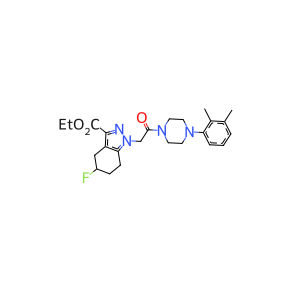 CCOC(=O)c1nn(CC(=O)N2CCN(c3cccc(C)c3C)CC2)c2c1CC(F)CC2